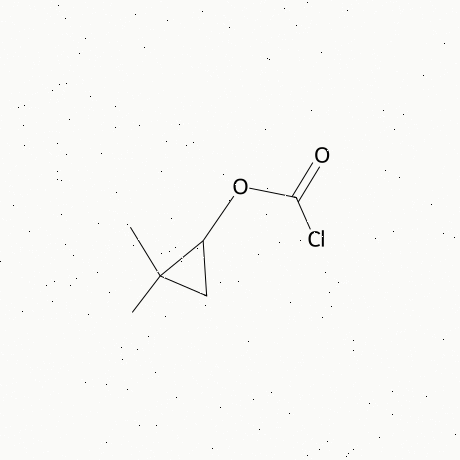 CC1(C)CC1OC(=O)Cl